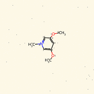 COc1cc(OC)c[n+](C)c1